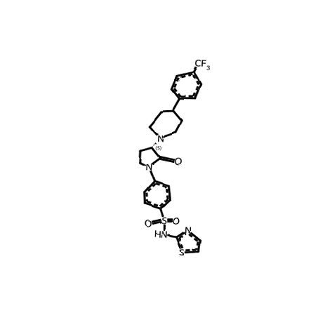 O=C1[C@@H](N2CCC(c3ccc(C(F)(F)F)cc3)CC2)CCN1c1ccc(S(=O)(=O)Nc2nccs2)cc1